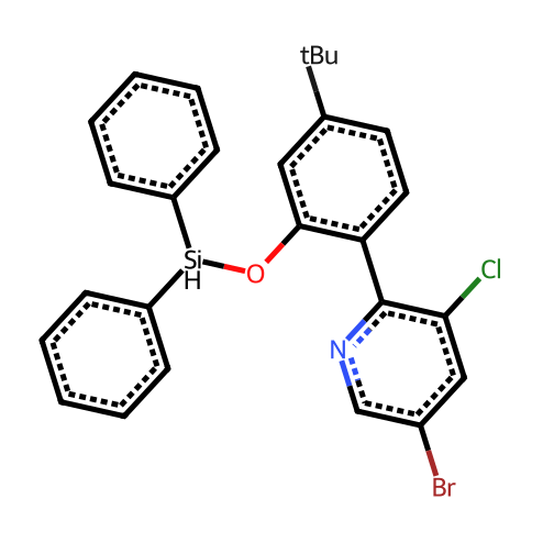 CC(C)(C)c1ccc(-c2ncc(Br)cc2Cl)c(O[SiH](c2ccccc2)c2ccccc2)c1